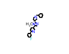 Cn1c(-c2ccc(-c3cccc(F)c3)nc2)cnc1[C@H]1CCN(Cc2ccccc2)C1